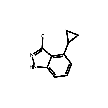 Clc1n[nH]c2cc[c]c(C3CC3)c12